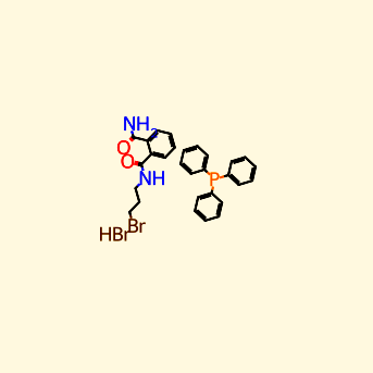 Br.NC(=O)c1ccccc1C(=O)NCCCBr.c1ccc(P(c2ccccc2)c2ccccc2)cc1